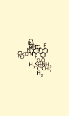 C#Cc1c(F)ccc2cc(OC(=O)[C@@](N)([SiH3])C(C)C)cc(-c3nc(F)c4c(N5CC6CCC(C5)N6)nc(OCC56CCCN5CCC6)nc4c3F)c12